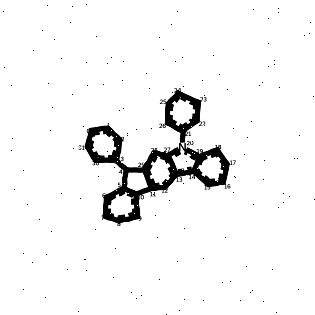 c1ccc(C2c3ccccc3-c3cc4c5ccccc5n(-c5ccccc5)c4cc32)cc1